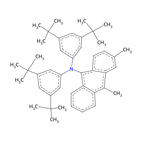 Cc1ccc2c(N(c3cc(C(C)(C)C)cc(C(C)(C)C)c3)c3cc(C(C)(C)C)cc(C(C)(C)C)c3)c3ccccc3c(C)c2c1